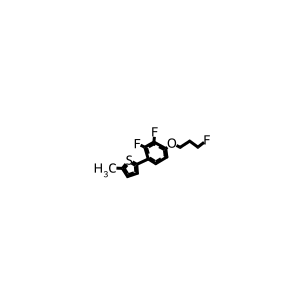 Cc1ccc(-c2ccc(OCCCF)c(F)c2F)s1